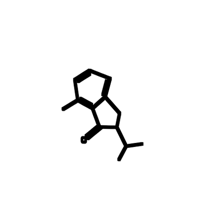 Cc1cccc2c1C(=O)C(C(C)C)C2